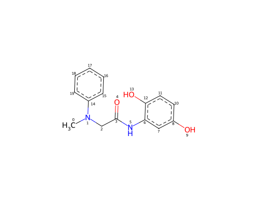 CN(CC(=O)Nc1cc(O)ccc1O)c1ccccc1